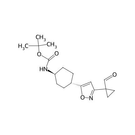 CC(C)(C)OC(=O)N[C@H]1CC[C@H](c2cc(C3(C=O)CC3)no2)CC1